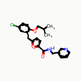 CC(C)COc1ccc(Cl)cc1Cc1ccc(C(=O)NCc2cccnc2)o1